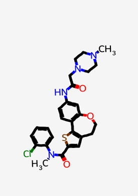 CN1CCN(CC(=O)Nc2ccc3c(c2)OCCc2cc(C(=O)N(C)c4ccccc4Cl)sc2-3)CC1